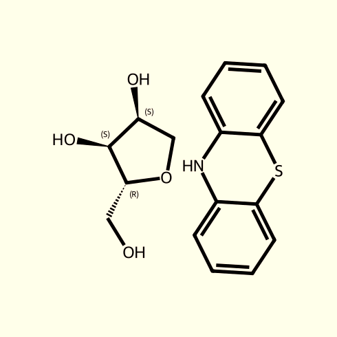 OC[C@H]1OC[C@H](O)[C@@H]1O.c1ccc2c(c1)Nc1ccccc1S2